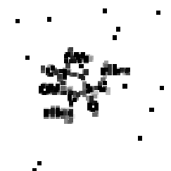 CCCCCCOP(=O)(CP(=O)(OC)OC)OCCCCCC